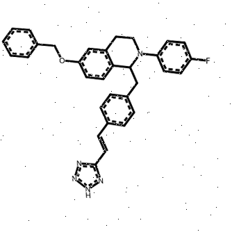 Fc1ccc(N2CCc3cc(OCc4ccccc4)ccc3C2Cc2ccc(/C=C/c3nn[nH]n3)cc2)cc1